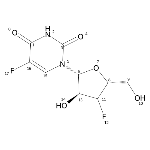 O=c1[nH]c(=O)n([C@@H]2O[C@H](CO)C(F)[C@H]2O)cc1F